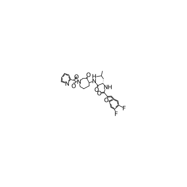 CC(C)C[C@H](NC(=O)c1cc2cc(F)c(F)cc2o1)C(=O)NC1CCCN(S(=O)(=O)c2ccccn2)CC1=O